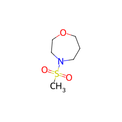 CS(=O)(=O)N1CCCOCC1